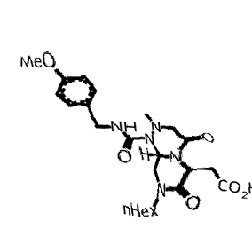 CCCCCCN1C[C@H]2N(C(=O)CN(C)N2C(=O)NCc2ccc(OC)cc2)[C@@H](CC(=O)O)C1=O